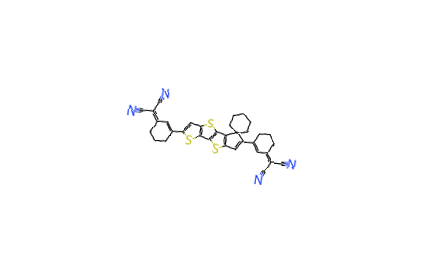 N#CC(C#N)=C1C=C(C2=Cc3sc4c(sc5cc(C6=CC(=C(C#N)C#N)CCC6)sc54)c3C23CCCCC3)CCC1